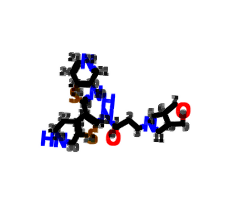 O=C(CCN1CC2COCC2C1)Nc1sc2c(c1-c1nc3cnccc3s1)CCNC2